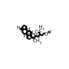 CC(C)=C(CCOCF)CC[C@@H](C)[C@H]1CC[C@H]2[C@@H]3CCC45CC4CC[C@]5(C)[C@H]3CC[C@]12C